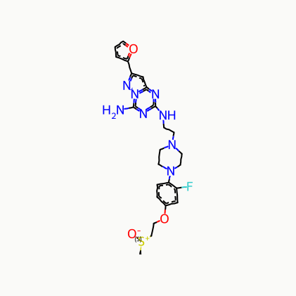 C[S@@+]([O-])CCOc1ccc(N2CCN(CCNc3nc(N)n4nc(-c5ccco5)cc4n3)CC2)c(F)c1